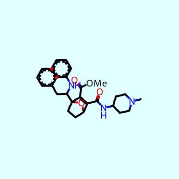 COC(=O)C1=C(C(=O)NC2CCN(C)CC2)C2CCC1(C(Cc1ccccc1)Nc1ccccc1)O2